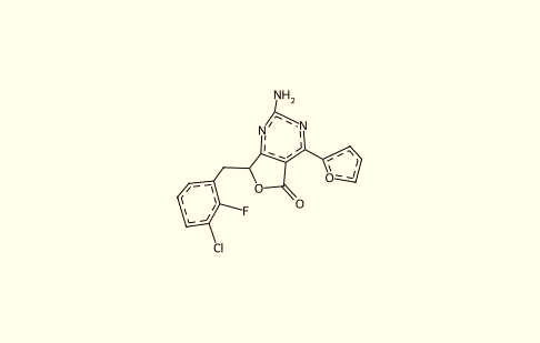 Nc1nc(-c2ccco2)c2c(n1)C(Cc1cccc(Cl)c1F)OC2=O